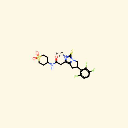 Cn1c(CC(=O)NC2CCS(=O)(=O)CC2)c2n(c1=S)CC(c1c(F)ccc(F)c1F)C2